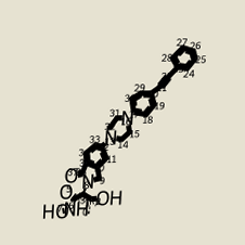 C[C@@H](O)[C@@H](C(=O)NO)N1Cc2cc(N3CCN(c4ccc(C#Cc5ccccc5)cc4)CC3)ccc2C1=O